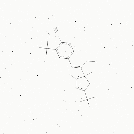 [C-]#[N+]c1ccc(/N=C(\OC)C2(C)CC(C(F)(F)F)=NN2C)cc1C(F)(F)F